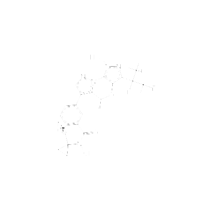 CN(C(=O)c1cc(-c2cnn3c2C(F)Oc2c(C(F)(C(F)(F)F)C(F)(F)F)nn(C)c2-3)ccc1Cl)C1(C#N)CC1